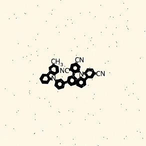 CC1C=CC2=C(C1)C1C=CC=CC1N2c1cccc(-c2cccc(-c3c(C#N)cc(C#N)cc3N3c4ccccc4C4C=C(C#N)C=CC43)c2)c1